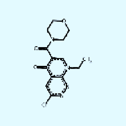 CCn1cc(C(=O)N2CCOCC2)c(=O)c2cc(Cl)nnc21